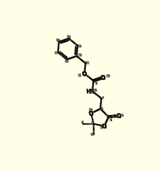 CC1(C)OC(=O)C(CNC(=O)OCc2ccccc2)O1